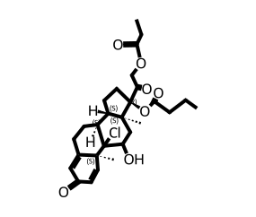 CCCC(=O)O[C@]1(C(=O)COC(=O)CC)CC[C@H]2[C@@H]3CCC4=CC(=O)C=C[C@]4(C)C3(Cl)C(O)C[C@@]21C